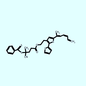 C=C/C=C\C=C(/C)c1cc(CCOC(=O)CCC(C)(C#N)SC(=S)c2ccccc2)c(-c2cccs2)s1